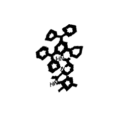 Cc1cc(C)c(NC(C)c2cccc(C(C)Nc3c(C4CCCCC4)cc(C(c4ccccc4)c4ccccc4)cc3C(c3ccccc3)c3ccccc3)n2)c(C)c1